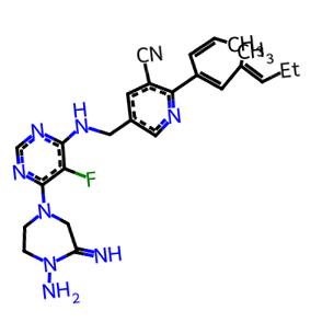 C\C=C/C(=C\C(C)=C\CC)c1ncc(CNc2ncnc(N3CCN(N)C(=N)C3)c2F)cc1C#N